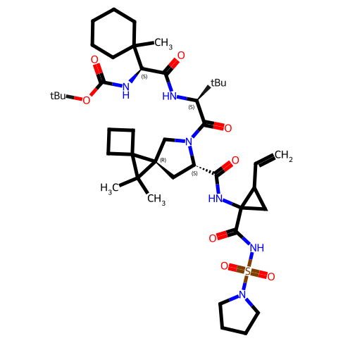 C=CC1CC1(NC(=O)[C@@H]1C[C@@]2(CN1C(=O)[C@@H](NC(=O)[C@@H](NC(=O)OC(C)(C)C)C1(C)CCCCC1)C(C)(C)C)C(C)(C)C21CCC1)C(=O)NS(=O)(=O)N1CCCC1